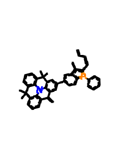 C=C/C=C\c1c(C)c2cc(-c3cc4c5c(c3)C(C)(C)c3cccc6c3N5c3c(cccc3C6(C)C)C4=C)ccc2p1-c1ccccc1